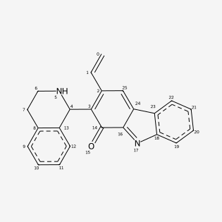 C=CC1=C(C2NCCc3ccccc32)C(=O)C2=Nc3ccccc3C2=C1